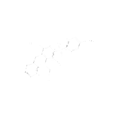 COc1ccc(S(=O)(=O)c2cc(C(=O)O)c(Cc3ccccc3)c(OCC(F)(F)F)c2N)cc1